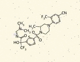 CC1CN(c2ccc(C#N)cc2C(F)(F)F)CCN1S(=O)(=O)c1ccc(C(O)(C(=O)/N=C\N(C)C)C(F)(F)F)s1